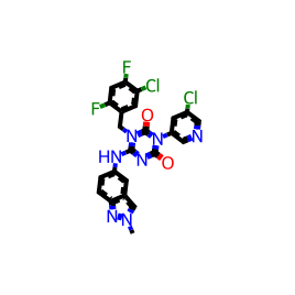 Cn1cc2cc(Nc3nc(=O)n(-c4cncc(Cl)c4)c(=O)n3Cc3cc(Cl)c(F)cc3F)ccc2n1